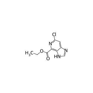 CCOC(=O)c1nc(Cl)cc2nc[nH]c12